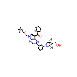 CC1(C(=O)c2cn(COCC[Si](C)(C)C)c3ncc(-c4cccc(N5C[C@@H]6[C@@H](CO)[C@@H]6C5)c4)nc23)CCCC1